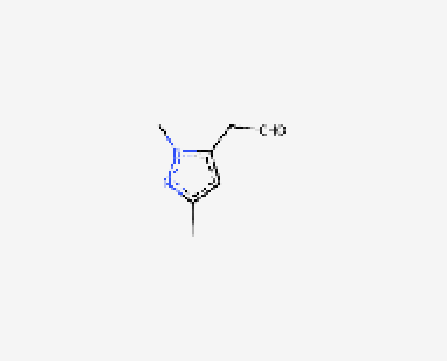 Cc1cc(C[C]=O)n(C)n1